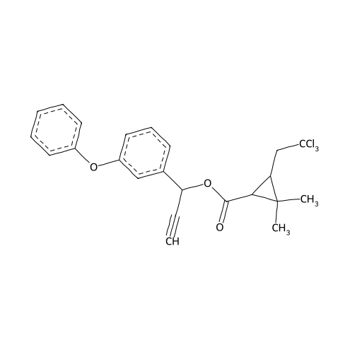 C#CC(OC(=O)C1C(CC(Cl)(Cl)Cl)C1(C)C)c1cccc(Oc2ccccc2)c1